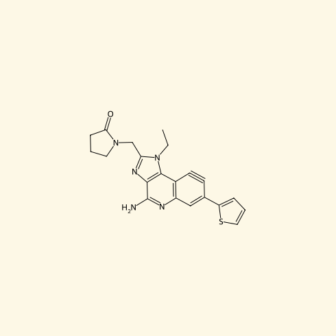 CCn1c(CN2CCCC2=O)nc2c(N)nc3cc(-c4cccs4)c#cc3c21